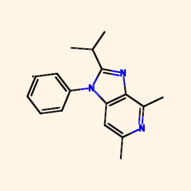 Cc1cc2c(nc(C(C)C)n2-c2c[c]ccc2)c(C)n1